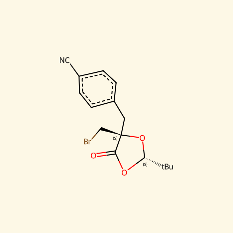 CC(C)(C)[C@@H]1OC(=O)[C@](CBr)(Cc2ccc(C#N)cc2)O1